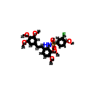 COc1ccc(S(=O)(=O)Nc2c(C=Cc3cc(OC)c(OC)c(OC)c3)ccc(OC)c2OC)cc1F